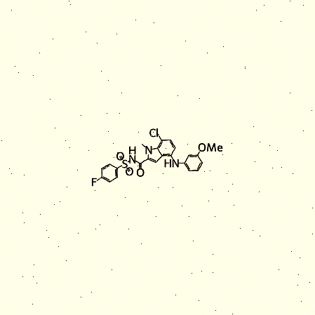 COc1cccc(Nc2ccc(Cl)c3c2cc(C(=O)NS(=O)(=O)c2ccc(F)cc2)n3C)c1